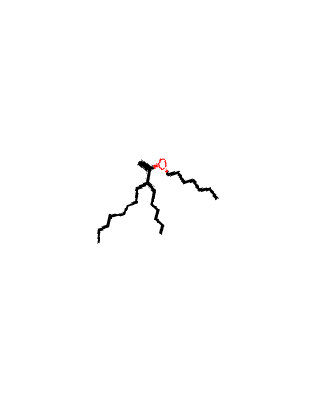 C=C(OCCCCCCC)C(CCCCCC)CCCCCCCC